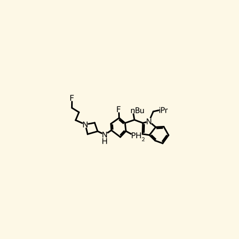 CCCCC(c1c(F)cc(NC2CN(CCCF)C2)cc1P)c1cc2ccccc2n1CC(C)C